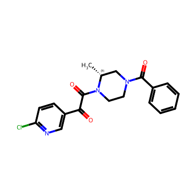 C[C@@H]1CN(C(=O)c2ccccc2)CCN1C(=O)C(=O)c1ccc(Cl)nc1